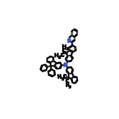 CC1(C)c2ccccc2-c2ccc(N(c3ccc4c(c3)-c3ccccc3C4(c3ccccc3)c3ccccc3)c3ccc4c(c3)C(C)(C)c3cc(-c5cc6ccccc6cn5)ccc3-4)cc21